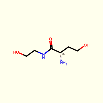 N[C@@H](CCO)C(=O)NCCO